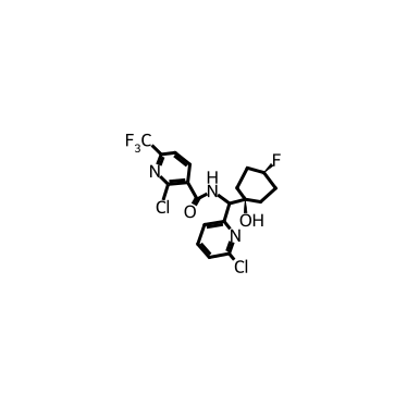 O=C(NC(c1cccc(Cl)n1)[C@]1(O)CC[C@@H](F)CC1)c1ccc(C(F)(F)F)nc1Cl